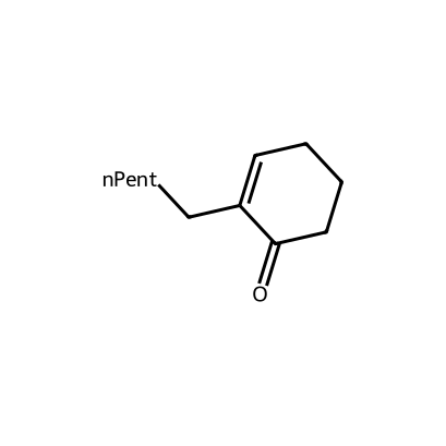 CCCCCCC1=CCCCC1=O